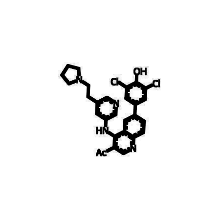 CC(=O)c1cnc2ccc(-c3cc(Cl)c(O)c(Cl)c3)cc2c1Nc1cncc(CCN2CCCC2)c1